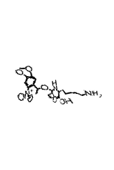 CC(OC(=O)N[C@@H](CCCCN)C(=O)O)c1cc2c(cc1[N+](=O)[O-])OCO2